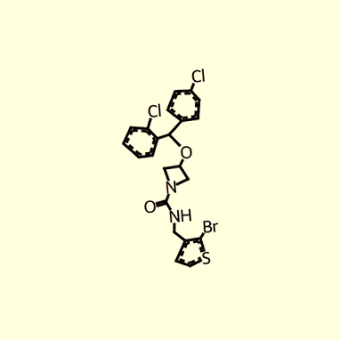 O=C(NCc1ccsc1Br)N1CC(OC(c2ccc(Cl)cc2)c2ccccc2Cl)C1